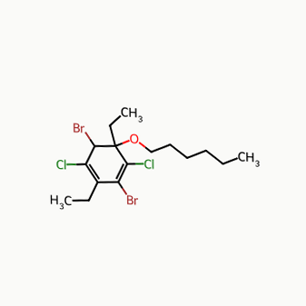 CCCCCCOC1(CC)C(Cl)=C(Br)C(CC)=C(Cl)C1Br